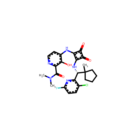 CN(C)C(=O)c1nccc(Nc2c(N[C@@H](c3nc(F)ccc3Cl)C3(C)CCCC3)c(=O)c2=O)c1O